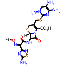 CCO/N=C(\C(=O)NC1C(=O)N2C(C(=O)O)=C(CSC3=NC(N)=C(N)CN3N)CS[C@@H]12)c1nsc(N)n1